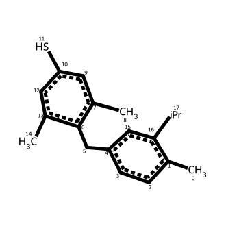 Cc1ccc(Cc2c(C)cc(S)cc2C)cc1C(C)C